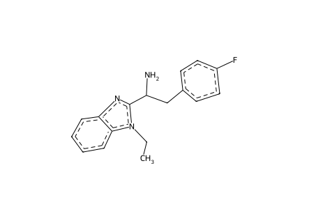 CCn1c(C(N)Cc2ccc(F)cc2)nc2ccccc21